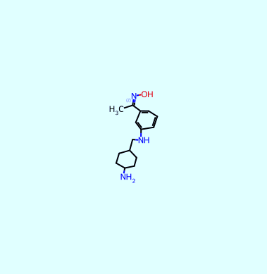 C/C(=N/O)c1cccc(NCC2CCC(N)CC2)c1